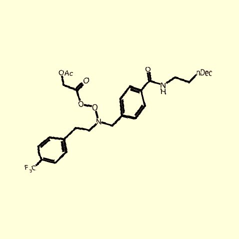 CCCCCCCCCCCCNC(=O)c1ccc(CN(CCc2ccc(C(F)(F)F)cc2)OOC(=O)COC(C)=O)cc1